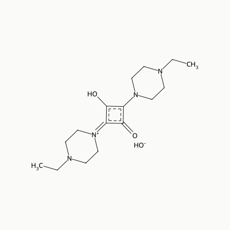 CCN1CCN(c2c(O)c(=[N+]3CCN(CC)CC3)c2=O)CC1.[OH-]